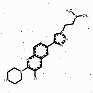 CN(C)CCn1cc(-c2ccc3nc(N4CCNCC4)c(Cl)cc3c2)nn1